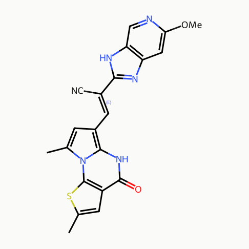 COc1cc2nc(/C(C#N)=C/c3cc(C)n4c3[nH]c(=O)c3cc(C)sc34)[nH]c2cn1